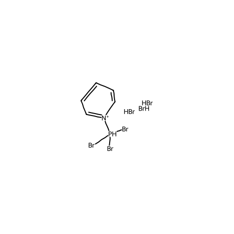 Br.Br.Br.Br[PH](Br)(Br)[n+]1ccccc1